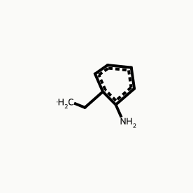 [CH2]Cc1ccccc1N